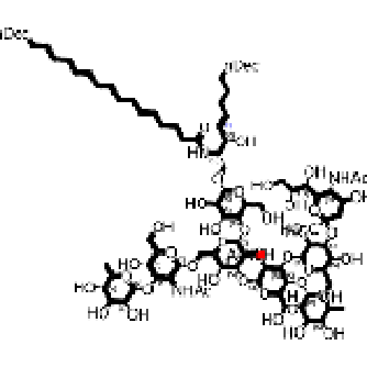 CCCCCCCCCCCCC/C=C/[C@@H](O)[C@H](CO[C@@H]1OC(CO)[C@@H](O[C@@H]2OC(CO[C@@H]3OC(CO)[C@@H](O)[C@H](O[C@H]4OC(C)[C@@H](O)C(O)[C@@H]4O)C3NC(C)=O)[C@H](O)[C@H](O[C@@H]3OC(CO)[C@@H](O[C@H]4OC(C)[C@@H](O)C(O)[C@@H]4O)[C@H](O[C@@H]4OC(CO)[C@H](O)[C@H](O[C@]5(C(=O)O)CC(O)[C@@H](NC(C)=O)C([C@H](O)[C@H](O)CO)O5)C4O)C3NC(C)=O)C2O)[C@H](O)C1O)NC(=O)CCCCCCCCCCCCCCCCCCCCCCCCC